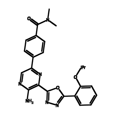 CC(C)Oc1ccccc1-c1nnc(-c2nc(-c3ccc(C(=O)N(C)C)cc3)cnc2N)o1